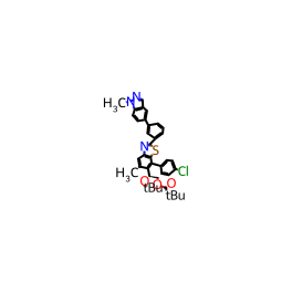 Cc1cc2nc(-c3cccc(-c4ccc5c(cnn5C)c4)c3)sc2c(-c2ccc(Cl)cc2)c1[C@@H](COC(=O)C(C)(C)C)OC(C)(C)C